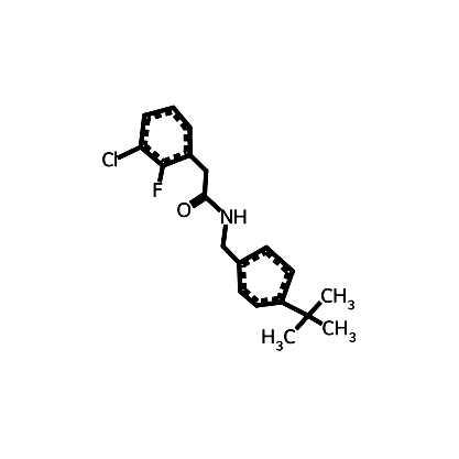 CC(C)(C)c1ccc(CNC(=O)Cc2cccc(Cl)c2F)cc1